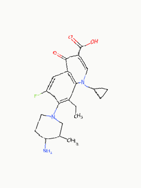 CCc1c(N2CCC(N)C(C)C2)c(F)cc2c(=O)c(C(=O)O)cn(C3CC3)c12